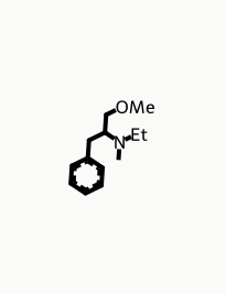 CCN(C)C(COC)Cc1ccccc1